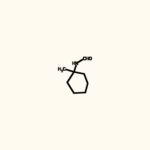 CC1(NC=O)CCCCC1